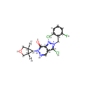 O=c1c2nn(Cc3c(F)cccc3Cl)c(Cl)c2cnn1[C@H]1[C@@H]2COC[C@@H]21